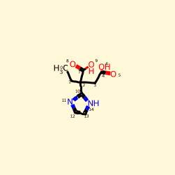 CCC(CC(=O)O)(C(=O)O)c1ncc[nH]1